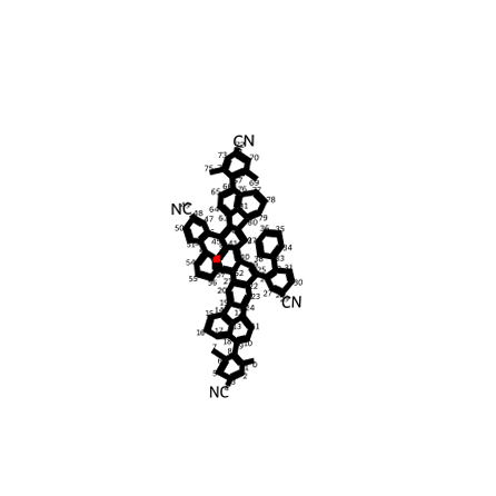 Cc1cc(C#N)cc(C)c1-c1ccc2c3c(cccc13)-c1cc3c(cc1-2)c(-c1cc(C#N)ccc1-c1ccccc1)cc1c2cc4c(c(-c5cc(C#N)ccc5-c5ccccc5)c2ccc31)-c1ccc(-c2c(C)cc(C#N)cc2C)c2cccc-4c12